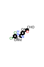 COc1cc(Nc2c(C#N)cnc3cc(-c4cc(C=O)co4)c(OC)cc23)c(Cl)cc1Cl